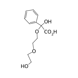 O=C(O)C(O)(OCCOCCO)c1ccccc1